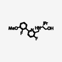 COc1cccc(-c2ccc(F)c(CN[C@@H](CO)C(C)C)n2)c1F